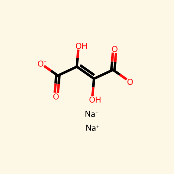 O=C([O-])C(O)=C(O)C(=O)[O-].[Na+].[Na+]